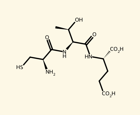 C[C@@H](O)[C@H](NC(=O)[C@@H](N)CS)C(=O)N[C@@H](CCC(=O)O)C(=O)O